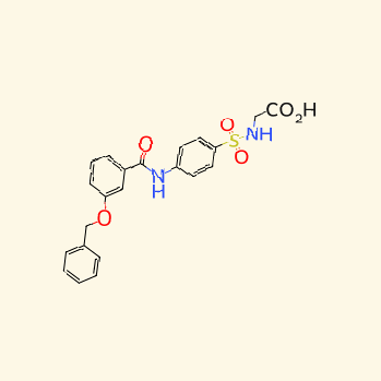 O=C(O)CNS(=O)(=O)c1ccc(NC(=O)c2cccc(OCc3ccccc3)c2)cc1